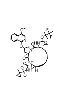 CC[C@@H]1C[C@H](C)CC/C=C\[C@@H]2C[C@@]2(C(=O)NS(=O)(=O)C2(C)CC2)NC(=O)[C@@H]2C[C@@H](Oc3ncc(OC)c4ccccc34)CN2C(=O)[C@H]1NC(=O)OC(C)(C)C(C)(F)F